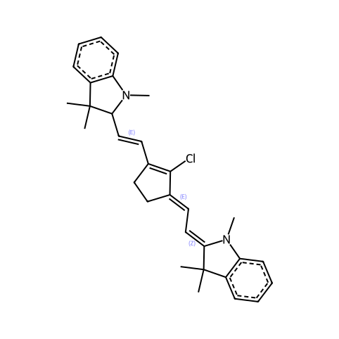 CN1/C(=C\C=C2/CCC(/C=C/C3N(C)c4ccccc4C3(C)C)=C2Cl)C(C)(C)c2ccccc21